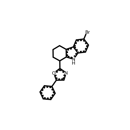 Brc1ccc2[nH]c3c(c2c1)CCCC3c1ncc(-c2ccccc2)o1